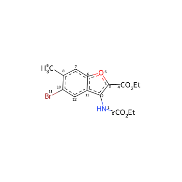 CCOC(=O)Nc1c(C(=O)OCC)oc2cc(C)c(Br)cc12